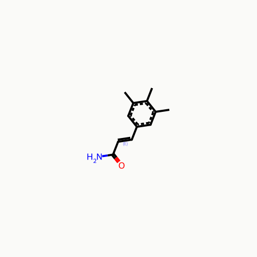 Cc1cc(/C=C/C(N)=O)cc(C)c1C